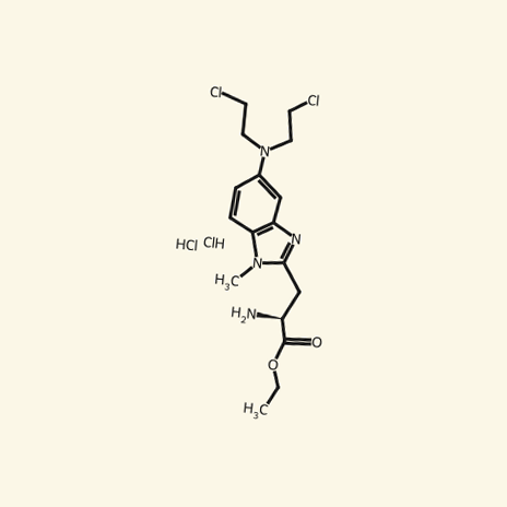 CCOC(=O)[C@@H](N)Cc1nc2cc(N(CCCl)CCCl)ccc2n1C.Cl.Cl